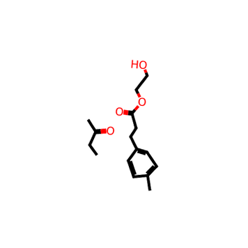 CCC(C)=O.Cc1ccc(CCC(=O)OCCO)cc1